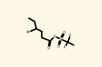 CCC(Br)CCC(=O)OS(=O)(=O)C(F)(F)F